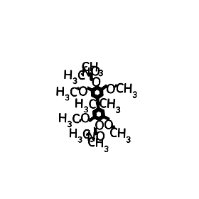 CCOCc1cc(C(C)(C)c2cc(COCC)c(OCC(=O)N(C)C)c(COCC)c2)cc(COCC)c1OCC(=O)N(C)C